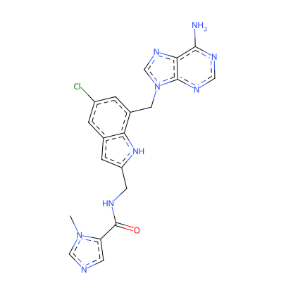 Cn1cncc1C(=O)NCc1cc2cc(Cl)cc(Cn3cnc4c(N)ncnc43)c2[nH]1